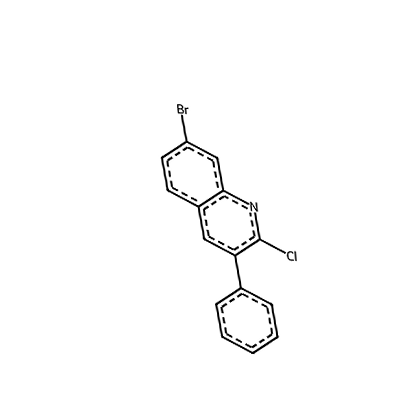 Clc1nc2cc(Br)ccc2cc1-c1ccccc1